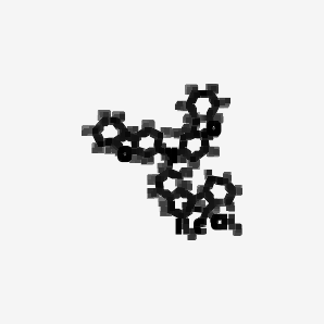 CC1(C)c2ccccc2-c2c1ccc1ccc(N(c3ccc4c(c3)oc3ccccc34)c3ccc4oc5ccccc5c4c3)cc21